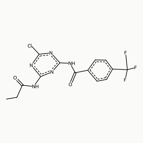 CCC(=O)Nc1nc(Cl)nc(NC(=O)c2ccc(C(F)(F)F)cc2)n1